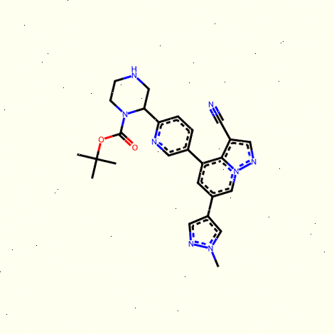 Cn1cc(-c2cc(-c3ccc(C4CNCCN4C(=O)OC(C)(C)C)nc3)c3c(C#N)cnn3c2)cn1